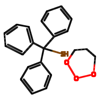 C1COOOC1.SC(c1ccccc1)(c1ccccc1)c1ccccc1